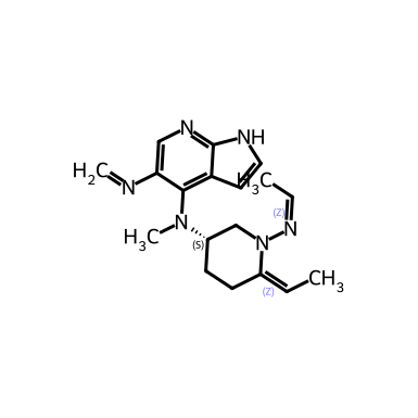 C=Nc1cnc2[nH]ccc2c1N(C)[C@H]1CC/C(=C/C)N(/N=C\C)C1